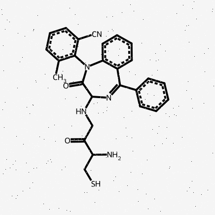 Cc1cccc(C#N)c1N1C(=O)C(NCC(=O)C(N)CS)N=C(c2ccccc2)c2ccccc21